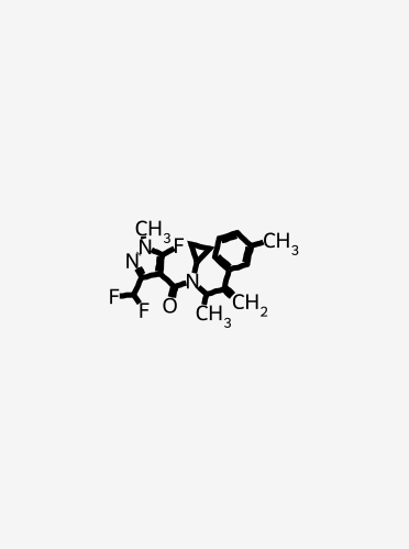 C=C(c1cccc(C)c1)C(C)N(C(=O)c1c(C(F)F)nn(C)c1F)C1CC1